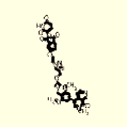 COc1cc(-c2cn(C)c(=O)c3cnccc23)cc(OC)c1CN1CC(OCc2cn(CCOc3ccc4c(c3)C(=O)N(C3CCC(=O)NC3=O)C4=O)nn2)C1